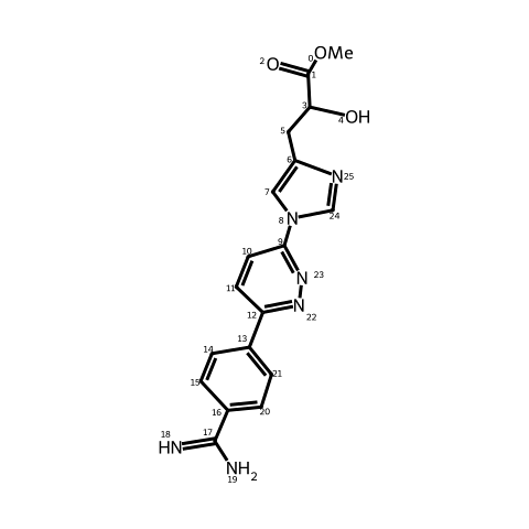 COC(=O)C(O)Cc1cn(-c2ccc(-c3ccc(C(=N)N)cc3)nn2)cn1